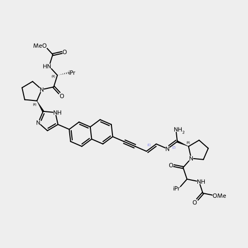 COC(=O)NC(C(=O)N1CCC[C@@H]1/C(N)=N/C=C/C#Cc1ccc2cc(-c3cnc([C@H]4CCCN4C(=O)[C@H](NC(=O)OC)C(C)C)[nH]3)ccc2c1)C(C)C